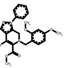 COC(=O)C1=C(O)c2cnn(-c3ccccc3)c2CN1Cc1ccc(OC)cc1OC